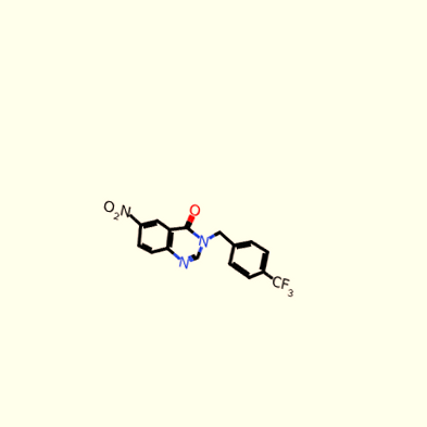 O=c1c2cc([N+](=O)[O-])ccc2ncn1Cc1ccc(C(F)(F)F)cc1